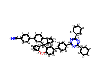 N#Cc1ccc(-c2ccc3c(c2)C2(c4ccccc4Oc4ccc(-c5ccc(-c6nc(-c7ccccc7)nc(C7C=CC=CC7)n6)cc5)cc42)c2ccccc2-3)cc1